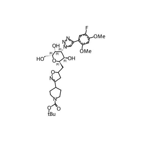 COc1cc(OC)c(-c2cn([C@H]3[C@@H](O)[C@@H](CO)O[C@H](CC4CC(C5CCN(C(=O)OC(C)(C)C)CC5)=NO4)[C@@H]3O)nn2)cc1F